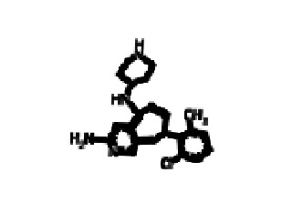 Cc1cccc(Cl)c1C1C=CC(NC2CCNCC2)=c2cc(N)ncc2=C1